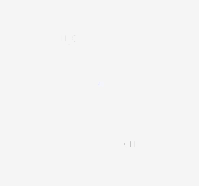 [CH2]CCCC/C=C/CCCCCCC